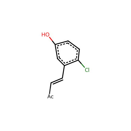 CC(=O)/C=C/c1cc(O)ccc1Cl